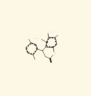 COc1cc2c(c(OC)c1OC)C(c1cc(Br)ccc1F)CC(=O)N2